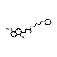 CCCCc1c(C=CC(=O)NCCCCN2C=CC=NC2)ccc2c(OC)cccc12